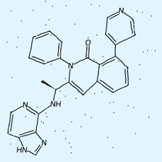 C[C@H](Nc1nccc2[nH]cnc12)c1cc2cccc(-c3ccncc3)c2c(=O)n1-c1ccccc1